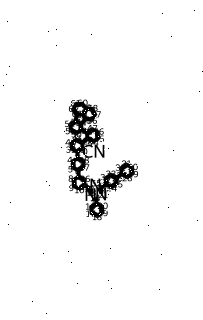 N#Cc1c(-c2ccc(-c3cccc(-c4nc(-c5ccccc5)nc(-c5ccc(-c6ccccc6)cc5)n4)c3)cc2)cccc1-c1ccccc1-c1cccc2c1-c1cccc3cccc-2c13